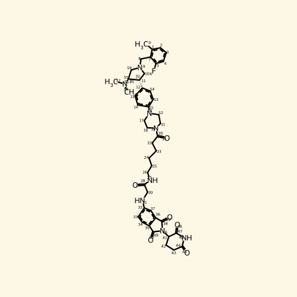 Cc1cccc(F)c1CN1C[C@H](c2ccc(N3CCN(C(=O)CCCCCNC(=O)CNc4ccc5c(c4)C(=O)N(C4CCC(=O)NC4=O)C5=O)CC3)cc2)[C@@H](N(C)C)C1